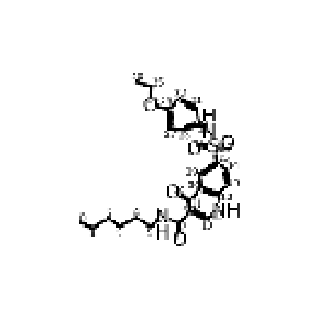 CCCCCCNC(=O)c1c[nH]c2ccc(S(=O)(=O)Nc3ccc(OCC)cc3)cc2c1=O